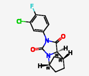 O=C1[C@H]2[C@@H]3CC[C@@H](C3)N2C(=O)N1c1ccc(F)c(Cl)c1